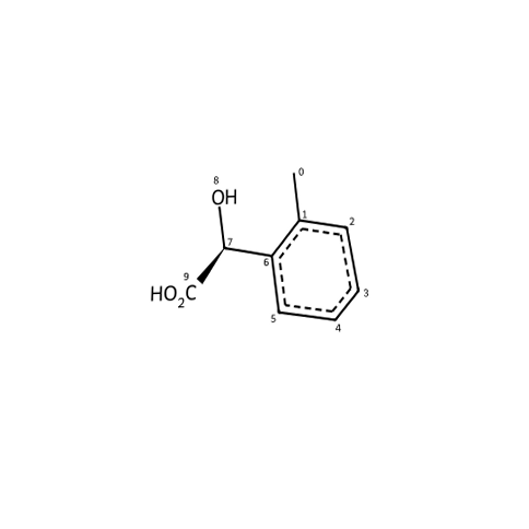 Cc1ccccc1[C@H](O)C(=O)O